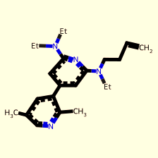 C=CCCN(CC)c1cc(-c2cc(C)cnc2C)cc(N(CC)CC)n1